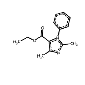 CCOC(=O)c1c(C)nc(C)n1-c1ccccc1